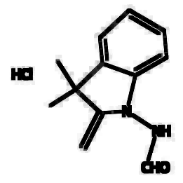 C=C1N(NC=O)c2ccccc2C1(C)C.Cl